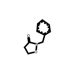 O=C1[CH]CON1Cc1ccccc1